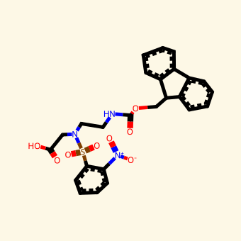 O=C(O)CN(CCNC(=O)OCC1c2ccccc2-c2ccccc21)S(=O)(=O)c1ccccc1[N+](=O)[O-]